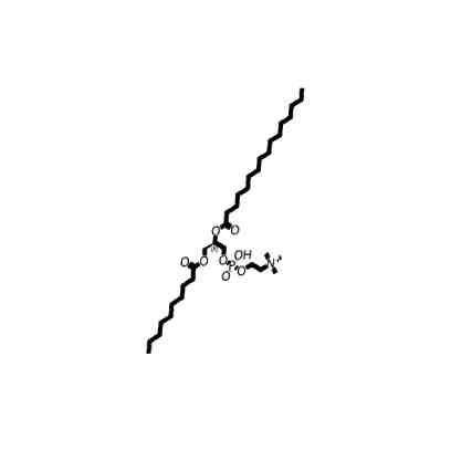 CCCCCCCCCCCCCCCC(=O)O[C@H](COC(=O)CCCCCCCCC)COP(=O)(O)OCC[N+](C)(C)C